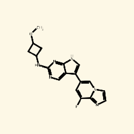 COC1CC(Nc2ncc3c(-c4cc(F)c5nccn5c4)c[nH]c3n2)C1